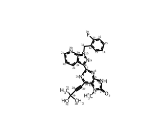 Cn1c(=O)[nH]c2nc(-c3nn(Cc4ccccc4F)c4ncccc34)nc(C#CC(C)(C)O)c21